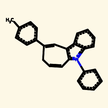 Cc1ccc(C2=Cc3c(n(-c4ccccc4)c4ccccc34)C=CC2)cc1